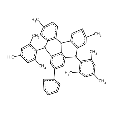 Cc1cc(C)c(B2c3cc(C)ccc3N3c4ccc(C)cc4B(c4c(C)cc(C)cc4C)c4cc(-c5ccccc5)cc2c43)c(C)c1